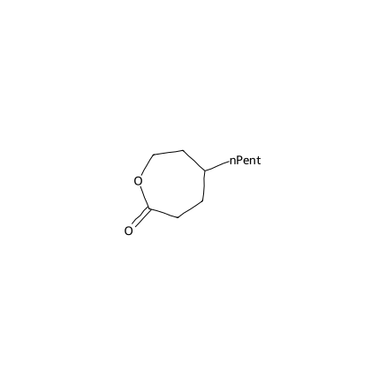 CCCCCC1CCOC(=O)CC1